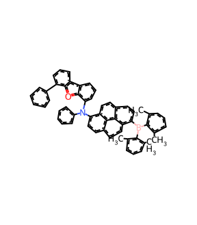 Cc1cccc(C)c1B(c1c(C)cccc1C)c1ccc2ccc3c(N(c4ccccc4)c4cccc5c4oc4c(-c6ccccc6)cccc45)ccc4ccc1c2c43